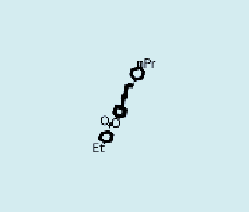 CCC[C@H]1CC[C@H](C=CC#Cc2ccc(OC(=O)[C@H]3CC[C@H](CC)CC3)cc2)CC1